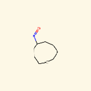 O=NC1CCCCCCCC1